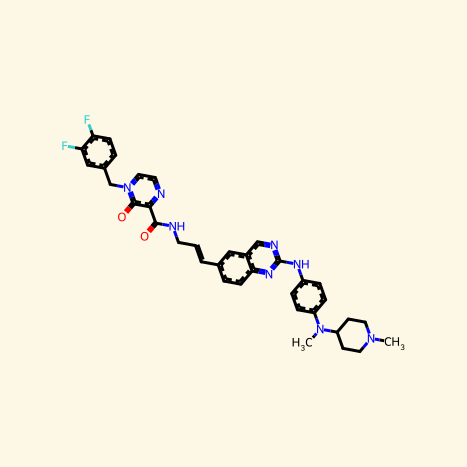 CN1CCC(N(C)c2ccc(Nc3ncc4cc(C=CCNC(=O)c5nccn(Cc6ccc(F)c(F)c6)c5=O)ccc4n3)cc2)CC1